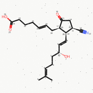 CC(C)=CCC[C@@H](O)C=C[C@@H]1[C@H](C#N)CC(=O)[C@@H]1CC=CCCCC(=O)O